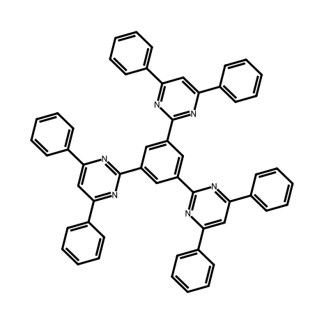 c1ccc(-c2cc(-c3ccccc3)nc(-c3cc(-c4nc(-c5ccccc5)cc(-c5ccccc5)n4)cc(-c4nc(-c5ccccc5)cc(-c5ccccc5)n4)c3)n2)cc1